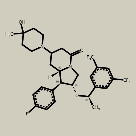 C[C@@H](O[C@H]1CN2C(=O)CC(N3CCC(C)(O)CC3)C[C@H]2[C@@H]1c1ccc(F)cc1)c1cc(C(F)(F)F)cc(C(F)(F)F)c1